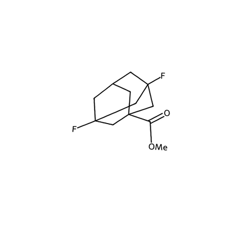 COC(=O)C12CC3CC(F)(CC(F)(C3)C1)C2